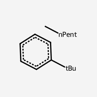 CC(C)(C)c1ccccc1.CCCCCC